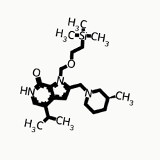 CC(C)c1c[nH]c(=O)c2c1cc(CN1CCC[C@H](C)C1)n2COCC[Si](C)(C)C